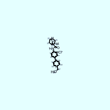 Cl.O=C(Nc1ccc(-c2ccc(CO)cc2)cc1)[C@@H]1CN2CCC1CC2